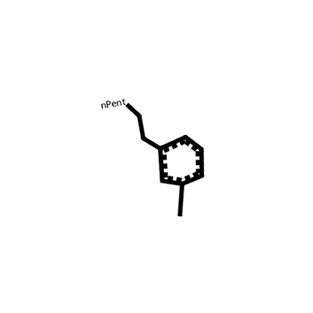 [CH2]CCCCCCc1cccc(C)c1